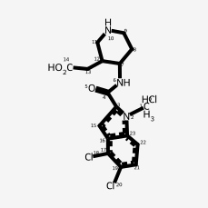 Cl.Cn1c(C(=O)NC2CCNCC2CC(=O)O)cc2c(Cl)c(Cl)ccc21